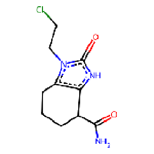 NC(=O)C1CCCc2c1[nH]c(=O)n2CCCl